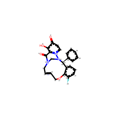 O=C1c2c(O)c(=O)ccn2N2CN1C/C=C/COc1c(F)cccc1[C@@H]2c1ccccc1